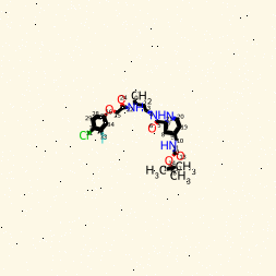 C=C(CCNC(=O)c1cc(CNC(=O)OC(C)(C)C)ccn1)NC(=O)COc1ccc(Cl)c(F)c1